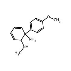 CNC1C=CC=CC1(N)c1ccc(OC)cc1